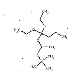 CCC[Si](OCC)(OCC)OC(C)S[Si](C)(C)C